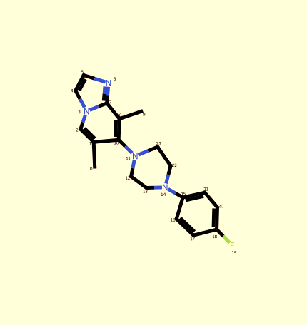 Cc1cn2ccnc2c(C)c1N1CCN(c2ccc(F)cc2)CC1